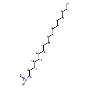 CCCCCCCCCCCCCCCCCC[N+](C)C